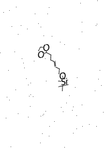 CC(C)(C)[Si](C)(C)OCCC=CCCC1OCCO1